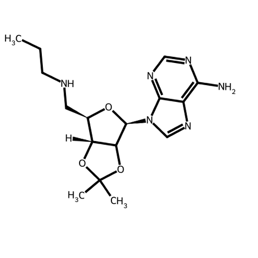 CCCNC[C@H]1O[C@@H](n2cnc3c(N)ncnc32)C2OC(C)(C)O[C@@H]21